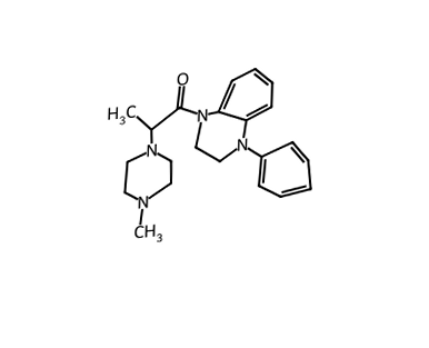 CC(C(=O)N1CCN(c2ccccc2)c2ccccc21)N1CCN(C)CC1